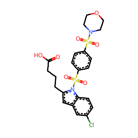 O=C(O)CCCc1cc2cc(Cl)ccc2n1S(=O)(=O)c1ccc(S(=O)(=O)N2CCOCC2)cc1